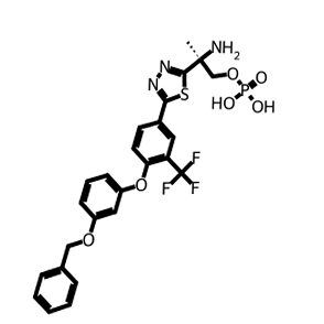 C[C@](N)(COP(=O)(O)O)c1nnc(-c2ccc(Oc3cccc(OCc4ccccc4)c3)c(C(F)(F)F)c2)s1